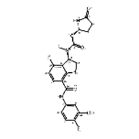 CN(C(=O)O[C@@H]1CCC(=O)N1)[C@H]1CCc2c(C(=O)Nc3ccc(F)c(Cl)c3)ccc(F)c21